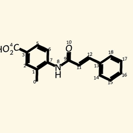 Cc1cc(C(=O)O)ccc1NC(=O)/C=C/c1ccccc1